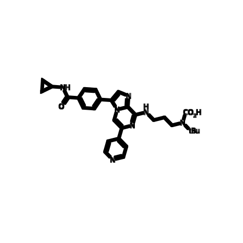 CC(C)(C)N(CCCNc1nc(-c2ccncc2)cn2c(-c3ccc(C(=O)NC4CC4)cc3)cnc12)C(=O)O